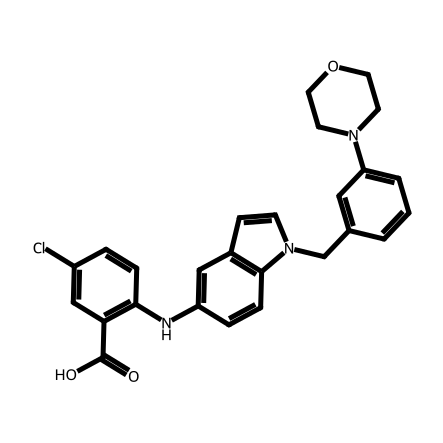 O=C(O)c1cc(Cl)ccc1Nc1ccc2c(ccn2Cc2cccc(N3CCOCC3)c2)c1